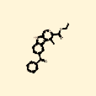 CCOC(=O)c1ncc2[nH]c3ccc(C(=O)c4ccccc4)cc3c2c1C